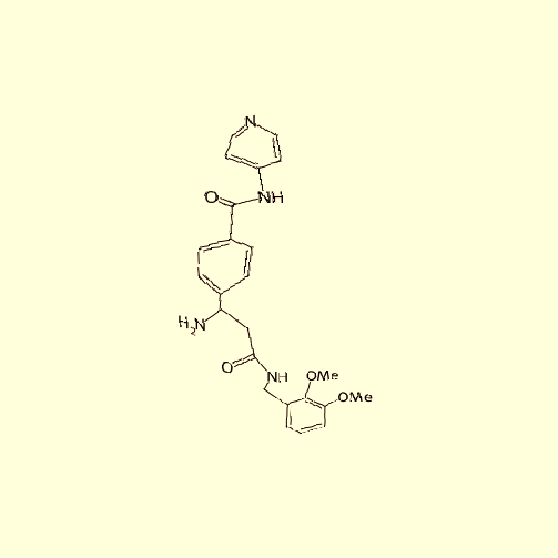 COc1cccc(CNC(=O)CC(N)c2ccc(C(=O)Nc3ccncc3)cc2)c1OC